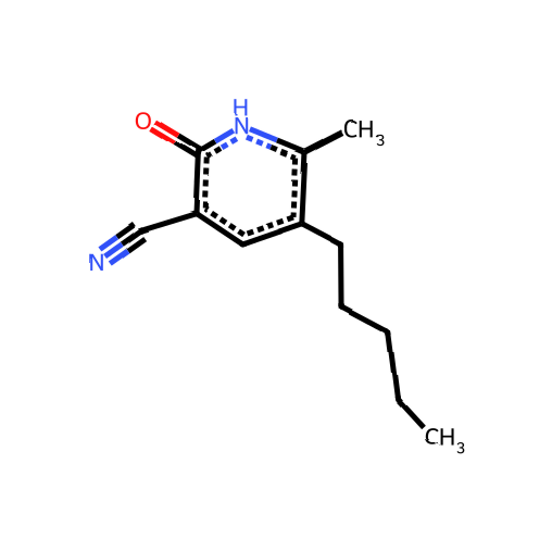 CCCCCc1cc(C#N)c(=O)[nH]c1C